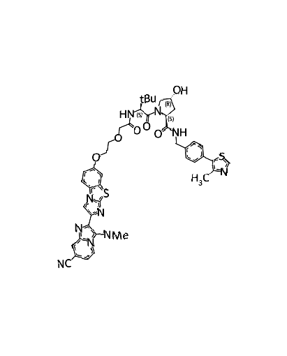 CNc1c(-c2cn3c(n2)sc2cc(OCCOCC(=O)N[C@H](C(=O)N4C[C@H](O)C[C@H]4C(=O)NCc4ccc(-c5scnc5C)cc4)C(C)(C)C)ccc23)nc2cc(C#N)ccn12